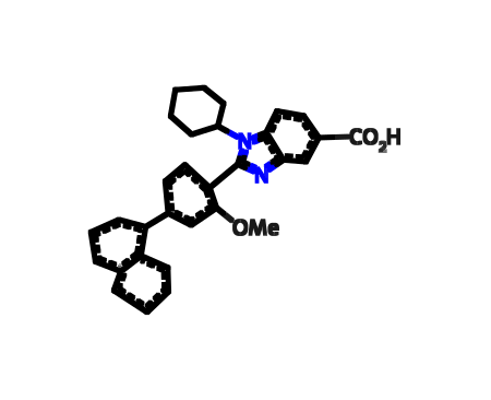 COc1cc(-c2cccc3ccccc23)ccc1-c1nc2cc(C(=O)O)ccc2n1C1CCCCC1